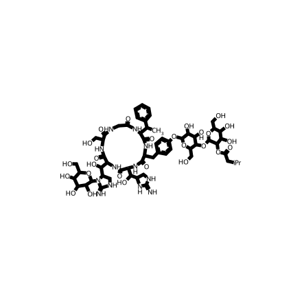 CC(C)CC(=O)OC1C(OC2C(CO)OC(Oc3ccc(CC4NC(=O)C(C(C)c5ccccc5)NC(=O)CNC(=O)C(CO)NC(=O)C(C(O)C5CNC(=N)N5C5OC(CO)C(O)C(O)C5O)NC(=O)C(C(O)C5CNC(=N)N5)NC4=O)cc3)C(O)C2O)OC(CO)C(O)C1O